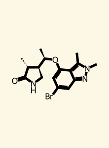 Cc1c2c(O[C@H](C)[C@H]3CNC(=O)[C@@H]3C)cc(Br)cc2nn1C